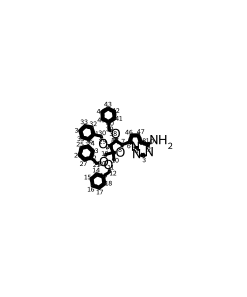 Nc1ncnn2c(C3OC(COCc4ccccc4)(COCc4ccccc4)[C@H](OCc4ccccc4)[C@H]3OCc3ccccc3)ccc12